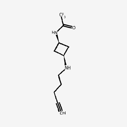 C#CCCCN[C@H]1C[C@@H](NC(=O)C(F)(F)F)C1